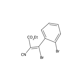 [C-]#[N+]C(C(=O)OCC)=C(Br)c1ccccc1Br